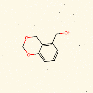 OCc1cccc2c1COCO2